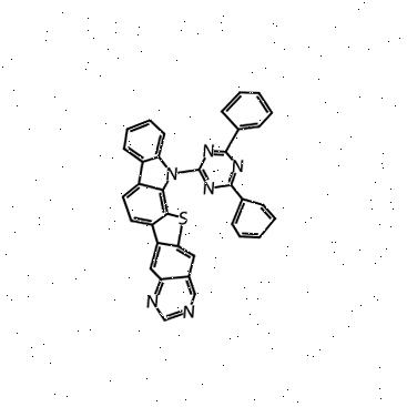 c1ccc(-c2nc(-c3ccccc3)nc(-n3c4ccccc4c4ccc5c6cc7ncncc7cc6sc5c43)n2)cc1